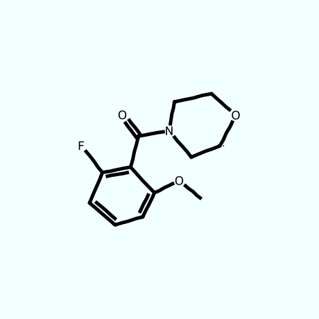 COc1cccc(F)c1C(=O)N1C[CH]OCC1